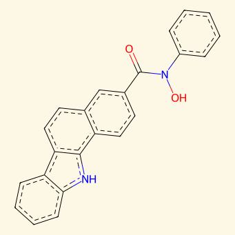 O=C(c1ccc2c(ccc3c4ccccc4[nH]c23)c1)N(O)c1ccccc1